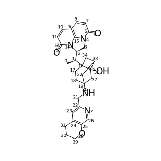 C[C@@H]([C@@H]1Cn2c(=O)ccc3ccc(=O)n1c32)C12CCC3(NCc4cc5c(cn4)OCCC5)CC(C1)[C@]2(O)C3